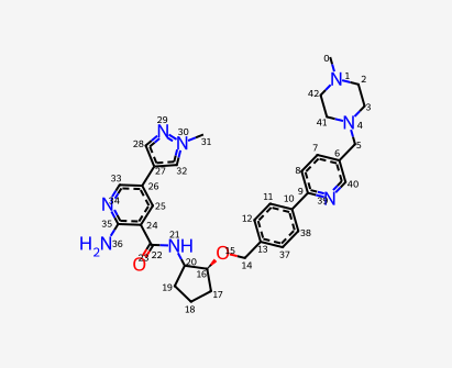 CN1CCN(Cc2ccc(-c3ccc(CO[C@H]4CCCC4NC(=O)c4cc(-c5cnn(C)c5)cnc4N)cc3)nc2)CC1